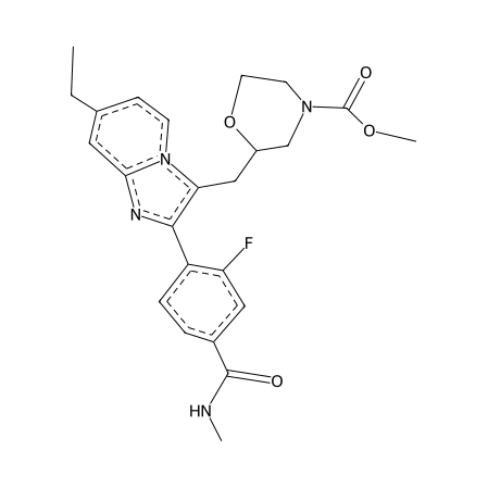 CCc1ccn2c(CC3CN(C(=O)OC)CCO3)c(-c3ccc(C(=O)NC)cc3F)nc2c1